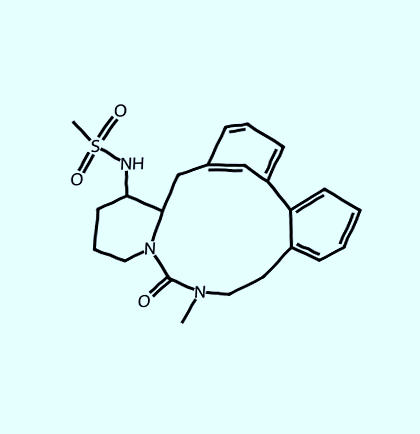 CN1CCc2ccccc2-c2cccc(c2)CC2C(NS(C)(=O)=O)CCCN2C1=O